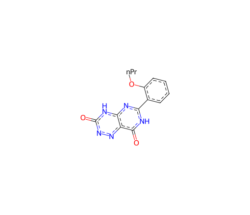 CCCOc1ccccc1-c1nc2[nH]c(=O)nnc2c(=O)[nH]1